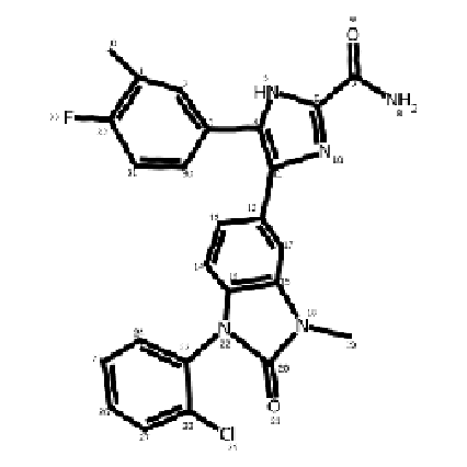 Cc1cc(-c2[nH]c(C(N)=O)nc2-c2ccc3c(c2)n(C)c(=O)n3-c2ccccc2Cl)ccc1F